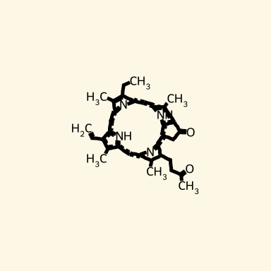 C=Cc1c(C)c2cc3nc(c4c5[nH]c(cc6nc(cc1[nH]2)C(C)=C6CC)c(C)c5C(=O)C4)C(CCC(C)=O)C3C